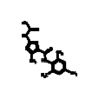 CCCC(=O)Nc1nc(C)c(C(=O)Nc2c(C)cc(C)cc2C)s1